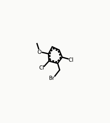 COc1ccc(Cl)c(CBr)c1Cl